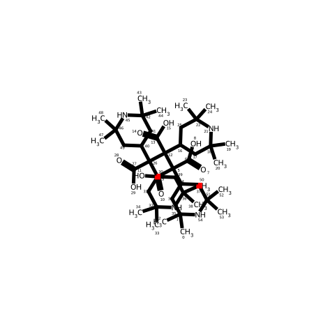 CC1(C)CC(C(C(=O)O)(C(=O)O)C(C(=O)O)(C2CC(C)(C)NC(C)(C)C2)C(C(=O)O)(C2CC(C)(C)NC(C)(C)C2)C2CC(C)(C)NC(C)(C)C2)CC(C)(C)N1